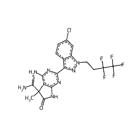 CC1(C(N)=S)C(=O)Nc2nc(-c3nn(CCC(F)(F)C(F)(F)F)c4cc(Cl)ccc34)nc(N)c21